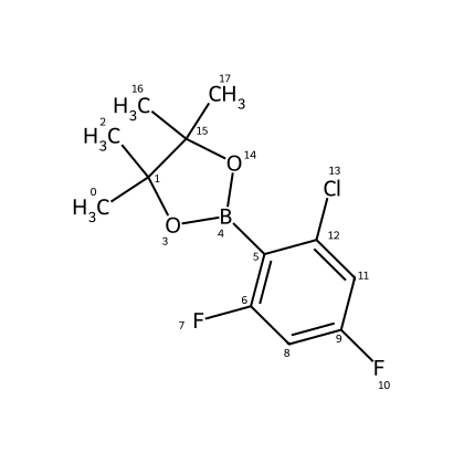 CC1(C)OB(c2c(F)cc(F)cc2Cl)OC1(C)C